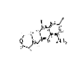 Cc1nc(N)c2c(n1)N(C)CC(CN1CCOCC1)=C2